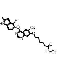 COc1cc2c(Oc3ccc4[nH]c(C)cc4c3F)ncnc2cc1OCCCCCC(=O)NO